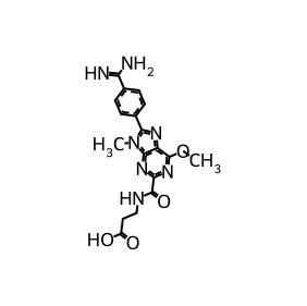 COc1nc(C(=O)NCCC(=O)O)nc2c1nc(-c1ccc(C(=N)N)cc1)n2C